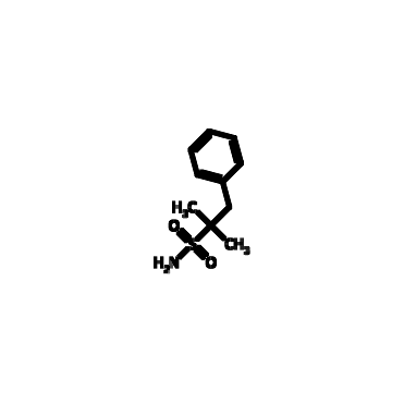 CC(C)(Cc1ccccc1)S(N)(=O)=O